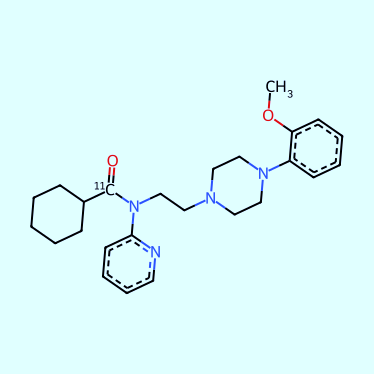 COc1ccccc1N1CCN(CCN(c2ccccn2)[11C](=O)C2CCCCC2)CC1